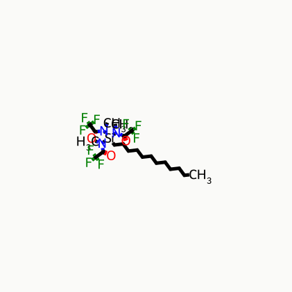 CCCCCCCCCCCC[Si](N(C)C(=O)C(F)(F)F)(N(C)C(=O)C(F)(F)F)N(C)C(=O)C(F)(F)F